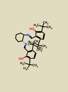 CC(C)(C)c1ccc(C(C)(C)C)c(C=N[C@@H]2CCCC[C@H]2N=Cc2c(C(C)(C)C)ccc(C(C)(C)C)c2O)c1O